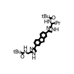 CC(C)C(NC(=O)C(C)(C)C)c1nc(-c2ccc3c(c2)Cc2cc(-c4c[nH]c(CNC(=O)C(C)(C)C)n4)ccc2-3)c[nH]1